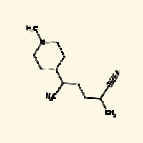 CC(C#N)CCC(C)C1CCN(C)CC1